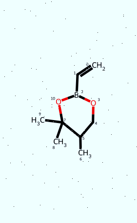 C=CB1OCC(C)C(C)(C)O1